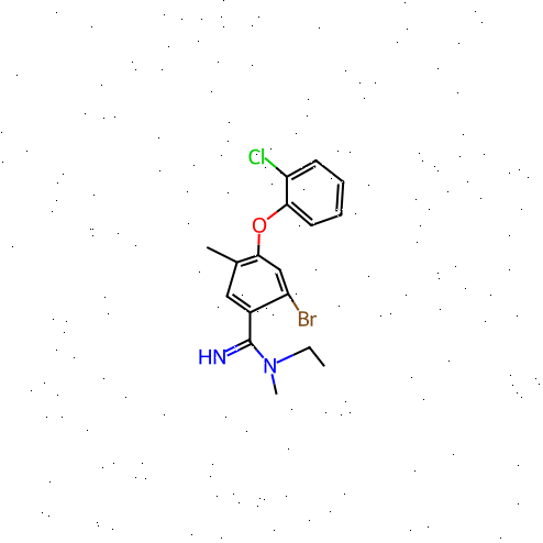 CCN(C)C(=N)c1cc(C)c(Oc2ccccc2Cl)cc1Br